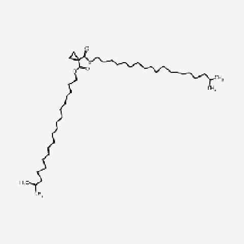 CC(C)CCCCCCCCCCCCCCCCCOC(=O)C1(C(=O)OCCCCCCCCCCCCCCCCCC(C)C)CC1